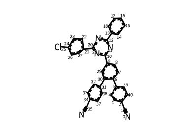 N#Cc1ccc(-c2ccc(-c3nc(-c4ccccc4)nc(-c4ccc(Cl)cc4)n3)cc2-c2ccc(C#N)cc2)cc1